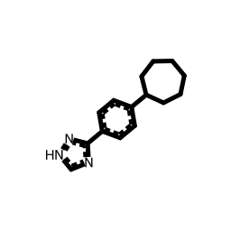 c1nc(-c2ccc(C3CCCCCC3)cc2)n[nH]1